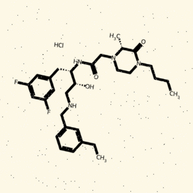 CCCCN1CCN(CC(=O)N[C@@H](Cc2cc(F)cc(F)c2)[C@H](O)CNCc2cccc(CC)c2)[C@H](C)C1=O.Cl